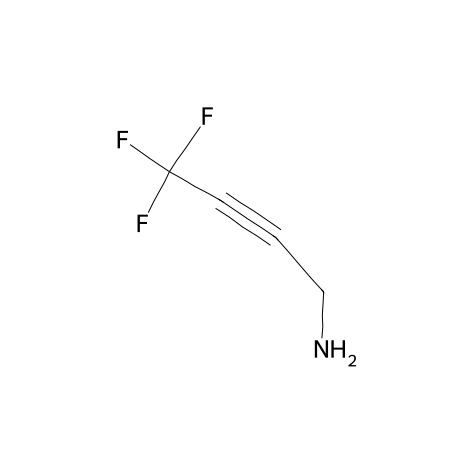 NCC#CC(F)(F)F